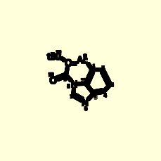 CC(=O)c1cccc2ncn(C(=O)OC(C)(C)C)c12